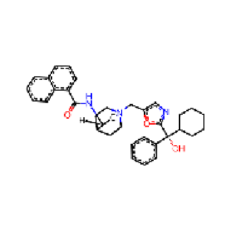 O=C(N[C@@H]1C[N+]2(Cc3cnc([C@](O)(c4ccccc4)C4CCCCC4)o3)CCC1CC2)c1cccc2ccccc12